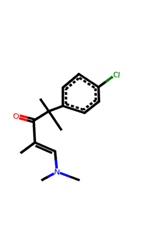 CC(=CN(C)C)C(=O)C(C)(C)c1ccc(Cl)cc1